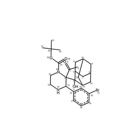 CC(=O)C1(C2(O)C3CC4CC(C3)CC2C4)C(c2cccc(Br)c2)NCCN1C(=O)OC(C)(C)C